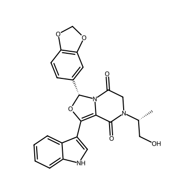 C[C@H](CO)N1CC(=O)N2C(=C(c3c[nH]c4ccccc34)O[C@@H]2c2ccc3c(c2)OCO3)C1=O